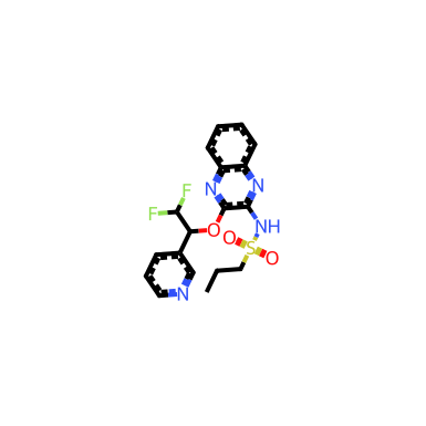 CCCS(=O)(=O)Nc1nc2ccccc2nc1OC(c1cccnc1)C(F)F